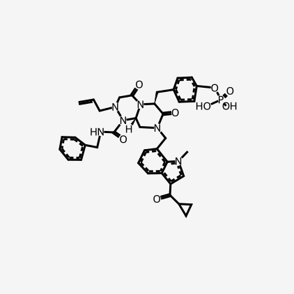 C=CCN1CC(=O)N2[C@@H](Cc3ccc(OP(=O)(O)O)cc3)C(=O)N(Cc3cccc4c(C(=O)C5CC5)cn(C)c34)C[C@@H]2N1C(=O)NCc1ccccc1